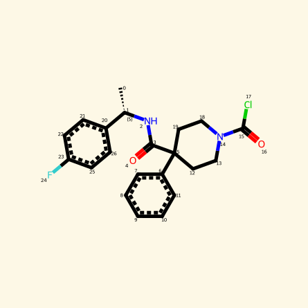 C[C@H](NC(=O)C1(c2ccccc2)CCN(C(=O)Cl)CC1)c1ccc(F)cc1